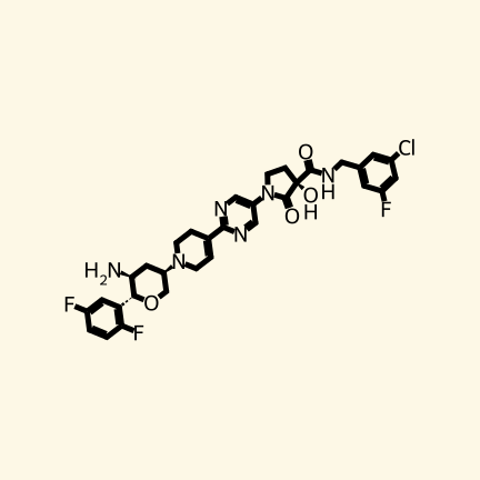 N[C@H]1C[C@@H](N2CC=C(c3ncc(N4CC[C@](O)(C(=O)NCc5cc(F)cc(Cl)c5)C4=O)cn3)CC2)CO[C@@H]1c1cc(F)ccc1F